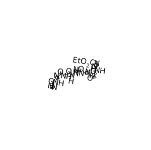 CCOC(=O)c1nc(NC(=O)CC2(NC(=O)c3cc(NC(=O)c4nc(NC(=O)CCNC(=O)c5cc(NC(=O)c6nccn6C)cn5C)cn4C)cn3C)CC2)cn1C